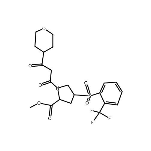 COC(=O)C1CC(S(=O)(=O)c2ccccc2C(F)(F)F)CN1C(=O)CC(=O)C1CCOCC1